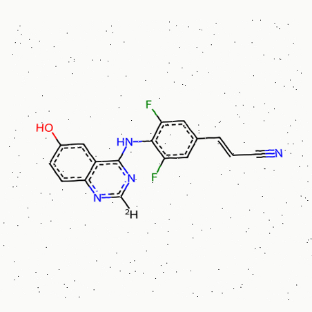 [2H]c1nc(Nc2c(F)cc(C=CC#N)cc2F)c2cc(O)ccc2n1